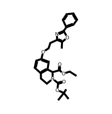 CCOC(=O)C1c2cc(OCCc3nc(-c4ccccc4)oc3C)ccc2CCN1C(=O)OC(C)(C)C